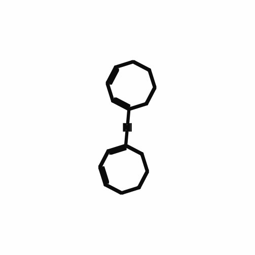 C1=C\CCCC\[C]([Ni]/[C]2=C/C=C\CCCC2)=C/1